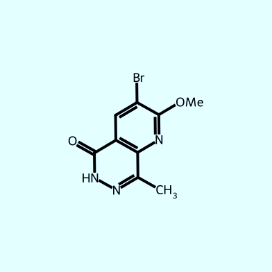 COc1nc2c(C)n[nH]c(=O)c2cc1Br